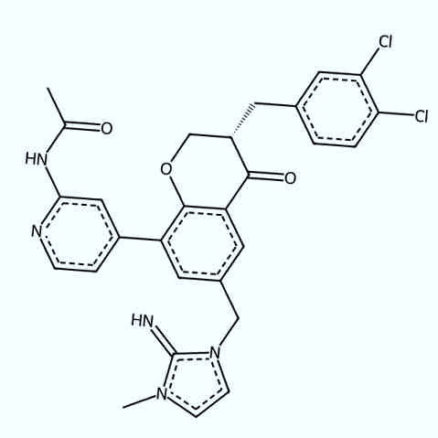 CC(=O)Nc1cc(-c2cc(Cn3ccn(C)c3=N)cc3c2OC[C@H](Cc2ccc(Cl)c(Cl)c2)C3=O)ccn1